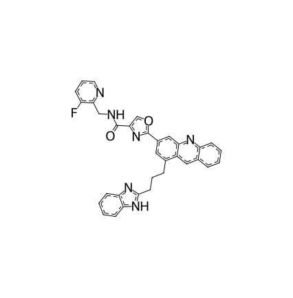 O=C(NCc1ncccc1F)c1coc(-c2cc(CCCc3nc4ccccc4[nH]3)c3cc4ccccc4nc3c2)n1